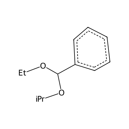 CCOC(OC(C)C)c1ccccc1